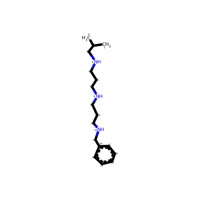 CC(C)CNCCCNCCCNCc1ccccc1